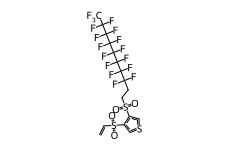 C=CS(=O)(=O)c1cscc1S(=O)(=O)CCC(F)(F)C(F)(F)C(F)(F)C(F)(F)C(F)(F)C(F)(F)C(F)(F)C(F)(F)F